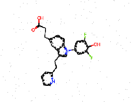 O=C(O)CCc1ccc2c(c1)c(CCc1ccccn1)cn2-c1cc(F)c(O)c(F)c1